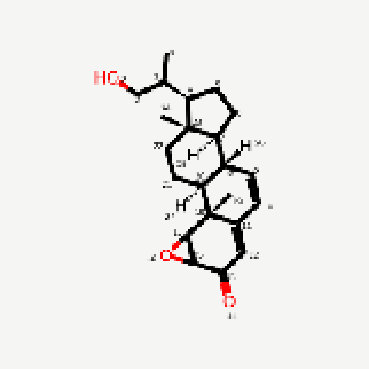 CC(CO)[C@H]1CC[C@H]2[C@@H]3C=CC4=CC(=O)C5OC5[C@]4(C)[C@H]3CC[C@]12C